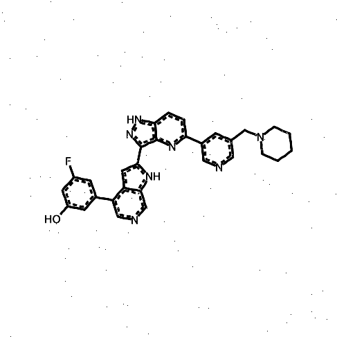 Oc1cc(F)cc(-c2cncc3[nH]c(-c4n[nH]c5ccc(-c6cncc(CN7CCCCC7)c6)nc45)cc23)c1